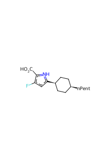 CCCCC[C@H]1CC[C@@H](c2cc(F)c(C(=O)O)[nH]2)CC1